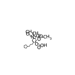 CCOC(=O)Oc1c(C)n(CCOC)c2cc(CCCC3CCCC3)c(OCC(=O)O)cc12